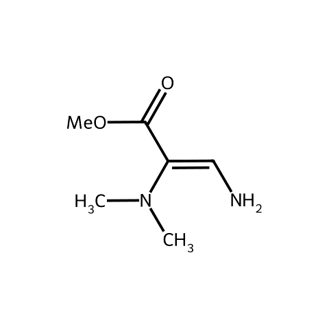 COC(=O)/C(=C/N)N(C)C